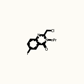 CCCn1c(CCl)nc2ccc(I)cc2c1=O